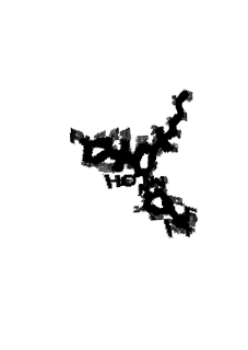 CCCCCC(C)(C)c1cc(-n2nc3ccc(C(F)(F)F)cc3n2)c(O)c(C(C)(C)c2ccc(F)cc2)c1